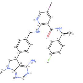 C[C@H](NC(=O)c1cc(I)cnc1NCc1ccc(C2CN(C)c3ncnc(N)c32)cc1)c1ccc(F)cc1